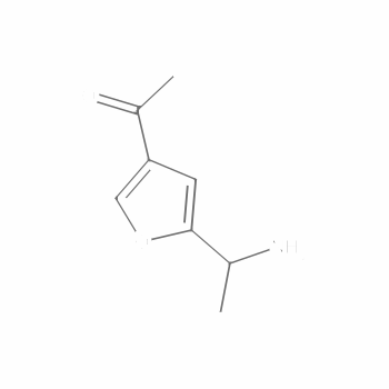 CC(=O)c1coc(C(C)N)c1